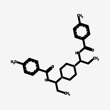 CCC(NC(=O)c1ccc(C)cc1)N1CCN(C(CC)NC(=O)c2ccc(C)cc2)CC1